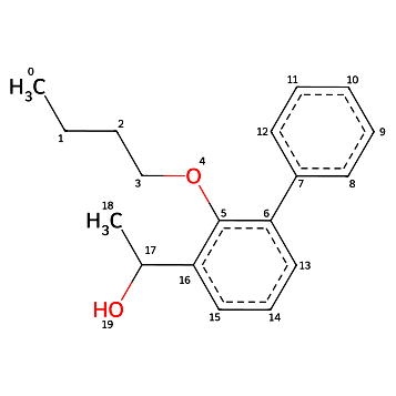 CCCCOc1c(-c2ccccc2)cccc1C(C)O